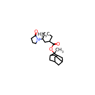 CCC(CC(C)N1CCCC1=O)C(=O)OC1(C)C2CC3CC(C2)CC1C3